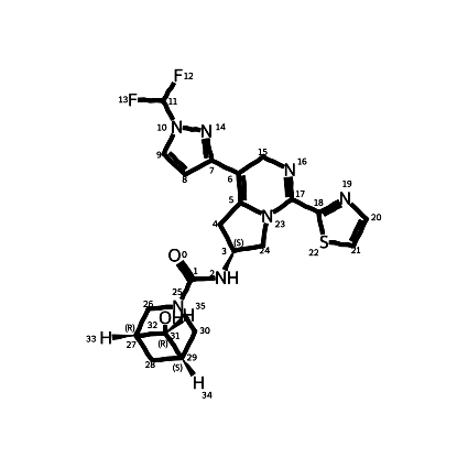 O=C(N[C@H]1CC2=C(c3ccn(C(F)F)n3)CN=C(c3nccs3)N2C1)N1C[C@H]2C[C@@H](C1)[C@H]2O